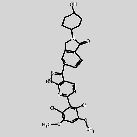 COc1cc(OC)c(Cl)c(-c2ncc3c(-c4ccc5c(c4)CN(C4CCC(O)CC4)C5=O)n[nH]c3n2)c1Cl